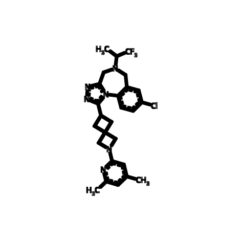 Cc1cc(C)nc(N2CC3(CC(c4nnc5n4-c4ccc(Cl)cc4CN(C(C)C(F)(F)F)C5)C3)C2)c1